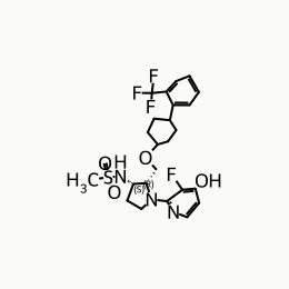 CS(=O)(=O)N[C@H]1CCN(c2nccc(O)c2F)[C@H]1COC1CCC(c2ccccc2C(F)(F)F)CC1